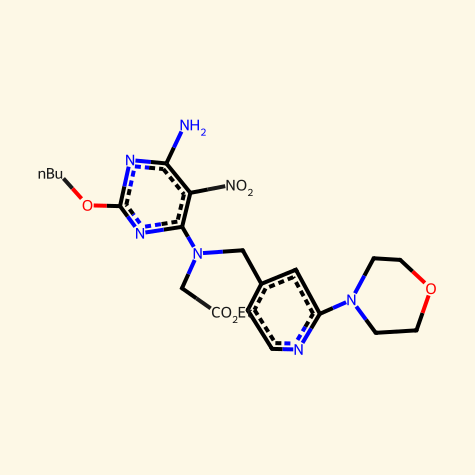 CCCCOc1nc(N)c([N+](=O)[O-])c(N(CC(=O)OCC)Cc2ccnc(N3CCOCC3)c2)n1